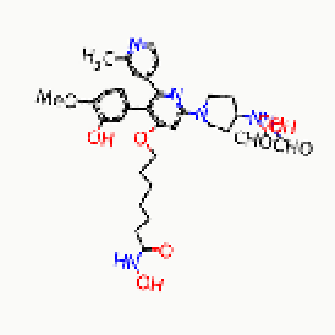 COc1ccc(-c2c(OCCCCCCC(=O)NO)cc(N3CCC(N)CC3)nc2-c2ccnc(C)c2)cc1O.O=CO.O=CO